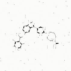 NC(=O)N1CCCN(c2ncc(-c3n[nH]c4ccc(O[C@H](N)c5c(Cl)cncc5Cl)cc34)cn2)CC1